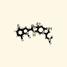 CCC1(CC)CC2NCC(CN(C)C)N2CC1NC(=O)C1Cc2c(F)ccc(C)c2N1C